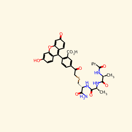 CC(C)C(=O)N[C@@H](C)C(=O)N[C@@H](C)C(=O)N[C@@H](CSCC(=O)c1ccc(-c2c3ccc(=O)cc-3oc3cc(O)ccc23)c(C(=O)O)c1)C(N)=O